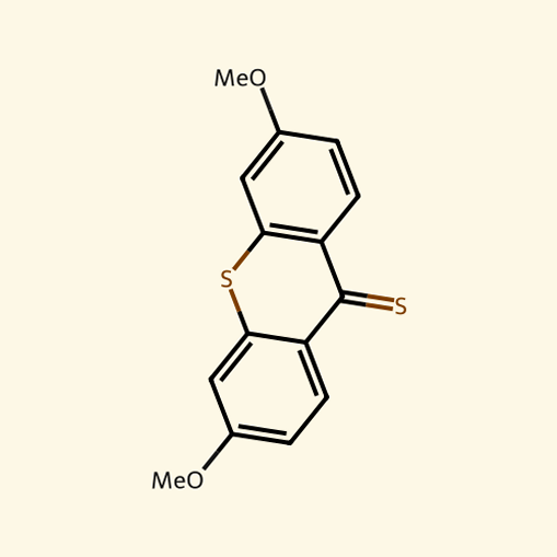 COc1ccc2c(=S)c3ccc(OC)cc3sc2c1